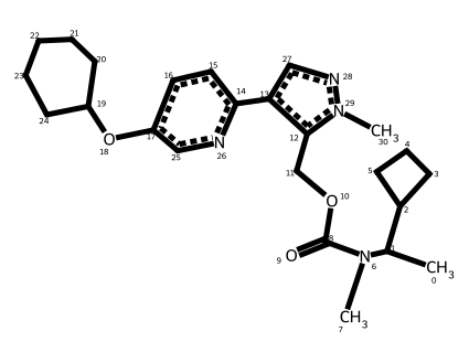 CC(C1CCC1)N(C)C(=O)OCc1c(-c2ccc(OC3CCCCC3)cn2)cnn1C